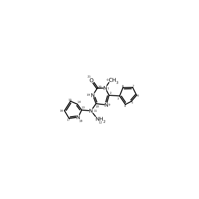 Cn1c(-c2ccccc2)nc(N(N)c2ccccn2)nc1=O